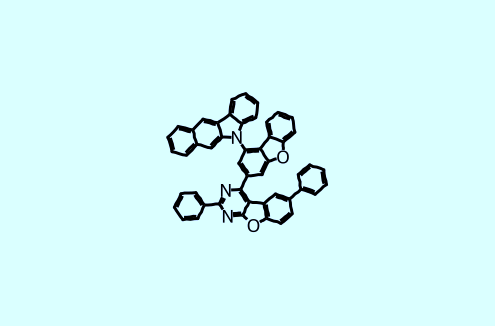 c1ccc(-c2ccc3oc4nc(-c5ccccc5)nc(-c5cc(-n6c7ccccc7c7cc8ccccc8cc76)c6c(c5)oc5ccccc56)c4c3c2)cc1